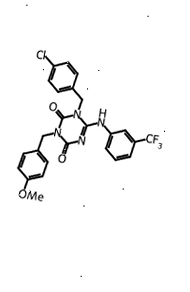 COc1ccc(Cn2c(=O)nc(Nc3cccc(C(F)(F)F)c3)n(Cc3ccc(Cl)cc3)c2=O)cc1